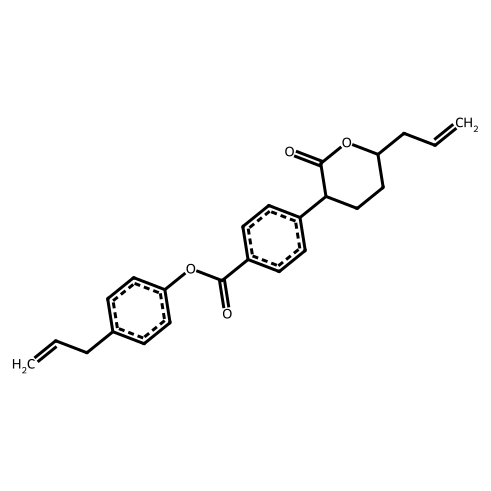 C=CCc1ccc(OC(=O)c2ccc(C3CCC(CC=C)OC3=O)cc2)cc1